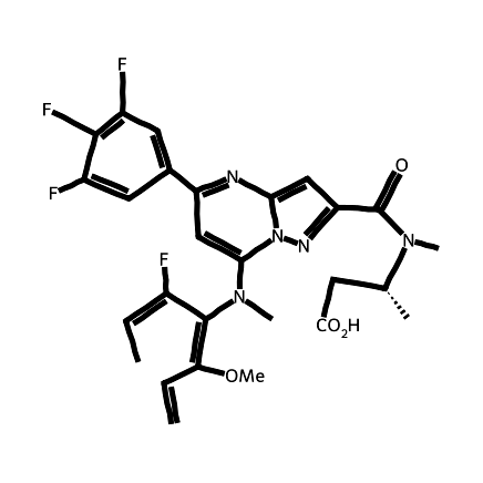 C=C/C(OC)=C(\C(F)=C/C)N(C)c1cc(-c2cc(F)c(F)c(F)c2)nc2cc(C(=O)N(C)[C@H](C)CC(=O)O)nn12